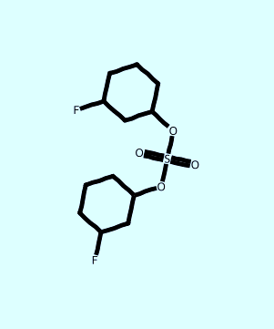 O=S(=O)(OC1CCCC(F)C1)OC1CCCC(F)C1